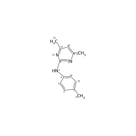 Cc1ccc(Nc2nc(C)cc(C)n2)cc1